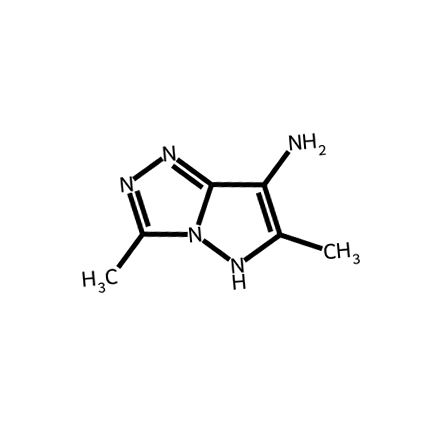 Cc1[nH]n2c(C)nnc2c1N